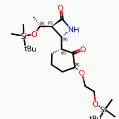 C[C@@H](O[Si](C)(C)C(C)(C)C)[C@H]1C(=O)N[C@@H]1[C@H]1CCC[C@@H](OCCO[Si](C)(C)C(C)(C)C)C1=O